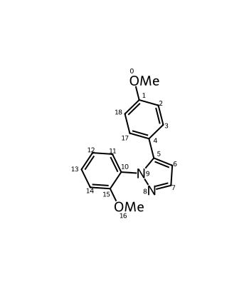 COc1ccc(-c2ccnn2-c2ccccc2OC)cc1